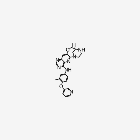 Cc1cc(Nc2ncnc3cc4c(nc23)N2CCN[C@H](CO4)C2)ccc1Oc1cccnc1